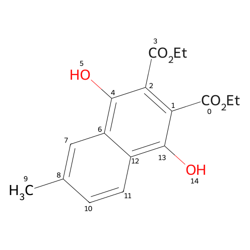 CCOC(=O)c1c(C(=O)OCC)c(O)c2cc(C)ccc2c1O